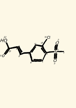 CS(=O)(=O)c1ccc(C=CC(=O)O)cc1Cl